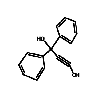 OC#CC(O)(c1ccccc1)c1ccccc1